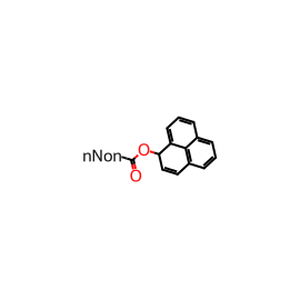 CCCCCCCCCC(=O)OC1C=Cc2cccc3cccc1c23